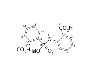 O=C(O)c1ccccc1OP(=O)(O)c1ccccc1C(=O)O